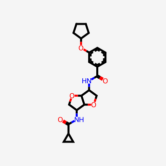 O=C(NC1COC2C(NC(=O)C3CC3)COC12)c1cccc(OC2CCCC2)c1